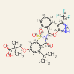 CC(C)c1cc(OCC(C)(C)C(=O)O)cc2c1C(=O)N(C(Oc1cc(C(F)(F)F)n[nH]1)c1ccccc1)S2(=O)=O